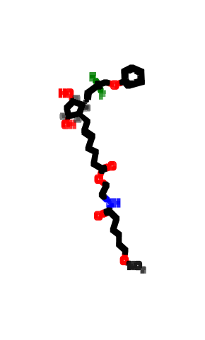 O=C(CCCCCO[N+](=O)[O-])NCCOC(=O)CCCC=CC[C@@H]1[C@@H](C=CC(F)(F)COc2ccccc2)[C@H](O)C[C@@H]1O